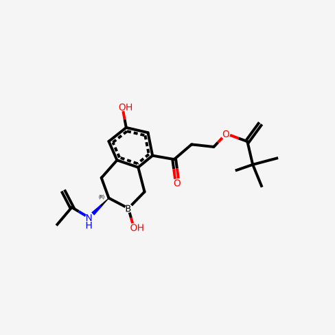 C=C(C)N[C@H]1Cc2cc(O)cc(C(=O)CCOC(=C)C(C)(C)C)c2CB1O